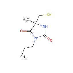 CCCN1C(=O)NC(C)(CS)C1=O